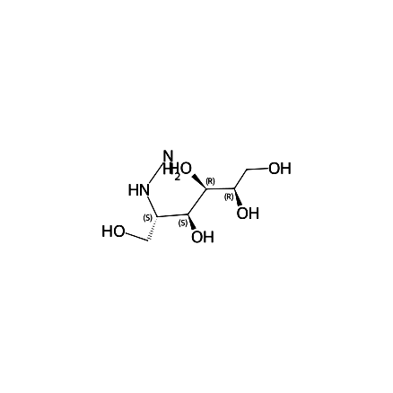 NN[C@@H](CO)[C@H](O)[C@@H](O)[C@H](O)CO